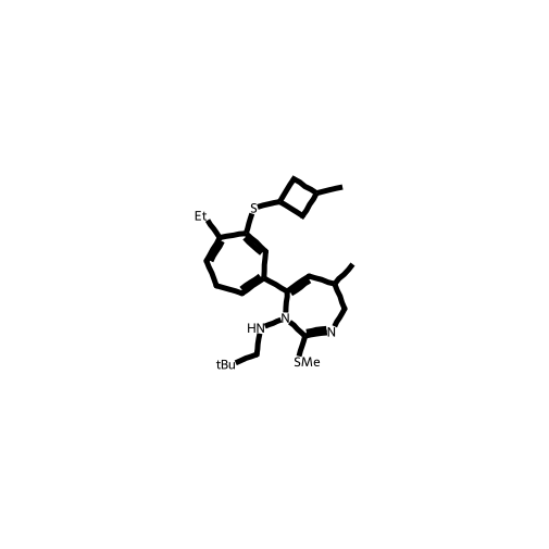 CCC1=CCC=C(C2=CC(C)CN=C(SC)N2NCC(C)(C)C)C=C1SC1CC(C)C1